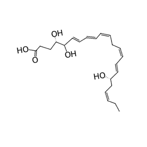 CC/C=C\C[C@H](O)/C=C/C=C\C\C=C/C=C/C=C/C(O)[C@@H](O)CCC(=O)O